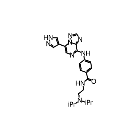 CC(C)N(CCNC(=O)c1ccc(Nc2ncc(-c3cn[nH]c3)n3ncnc23)cc1)C(C)C